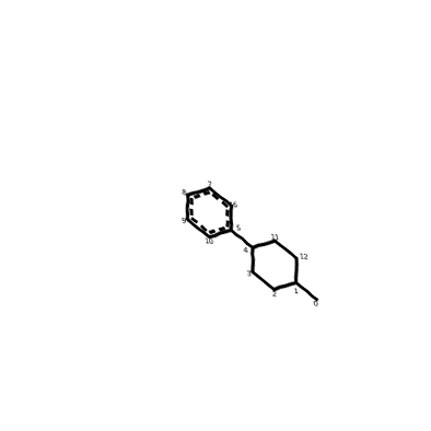 CC1CCC(c2[c]cccc2)CC1